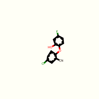 N#Cc1cc(Cl)ccc1Oc1ccc(F)cc1O